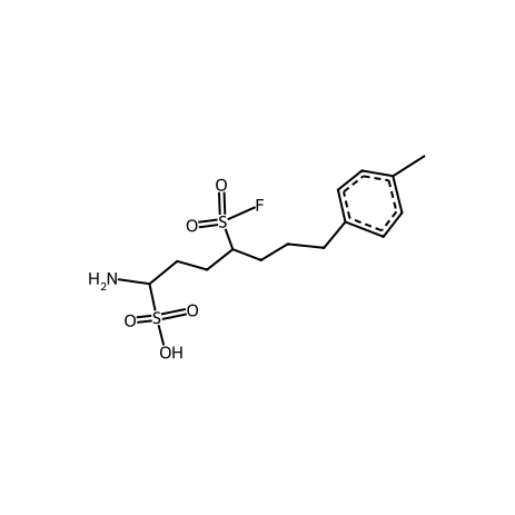 Cc1ccc(CCCC(CCC(N)S(=O)(=O)O)S(=O)(=O)F)cc1